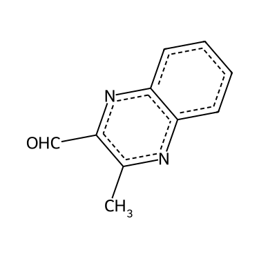 Cc1nc2ccccc2nc1C=O